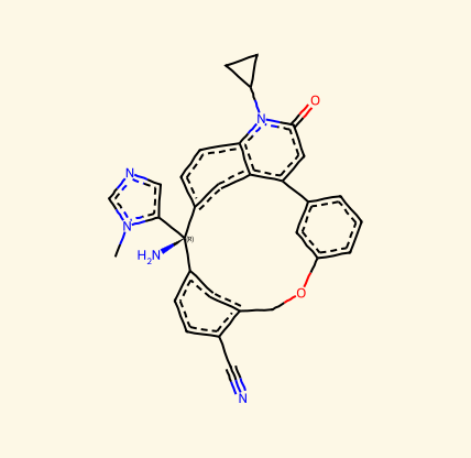 Cn1cncc1[C@@]1(N)c2ccc(C#N)c(c2)COc2cccc(c2)-c2cc(=O)n(C3CC3)c3ccc1cc23